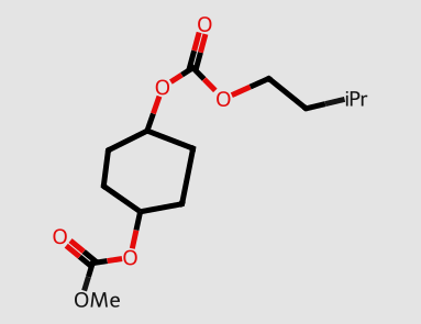 COC(=O)OC1CCC(OC(=O)OCCC(C)C)CC1